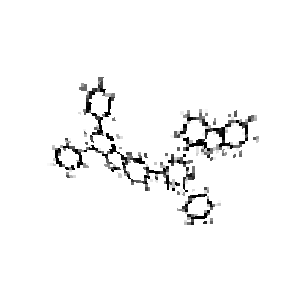 c1ccc(-c2cc(-c3ccccc3)c3sc4ccc(-c5nc(-c6ccccc6)nc(-c6cccc7c6oc6ccccc67)n5)cc4c3c2)cc1